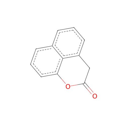 O=C1Cc2cccc3cccc(c23)O1